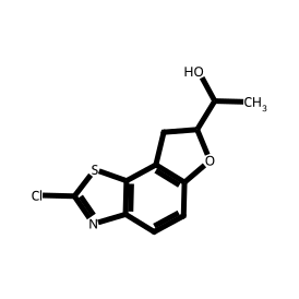 CC(O)C1Cc2c(ccc3nc(Cl)sc23)O1